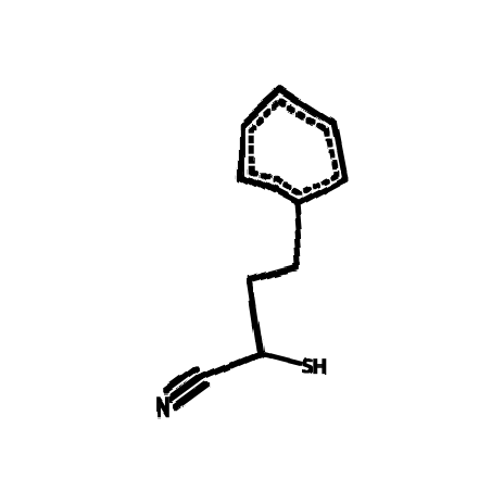 N#CC(S)CCc1ccccc1